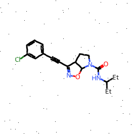 CCC(CC)NC(=O)N1CCC2C(C#Cc3cccc(Cl)c3)=NOC21